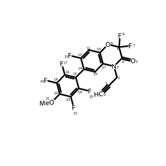 C#CCN1C(=O)C(F)(F)Oc2cc(F)c(-c3c(F)c(F)c(OC)c(F)c3F)cc21